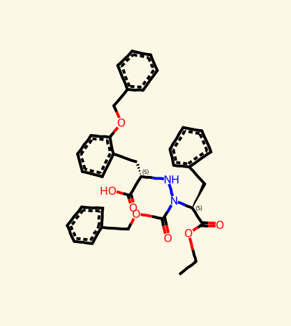 CCOC(=O)[C@H](Cc1ccccc1)N(N[C@@H](Cc1ccccc1OCc1ccccc1)C(=O)O)C(=O)OCc1ccccc1